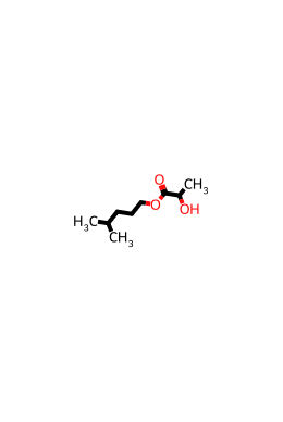 CC(C)CCCOC(=O)C(C)O